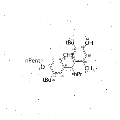 CCCCCOc1cc(C)c(C(CCC)c2cc(C(C)(C)C)c(O)cc2C)cc1C(C)(C)C